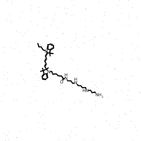 CCCCN1/C(=C/C=C/C=C/C2(C)N(CCCCCC(=O)NCCCNCCCCNCCCN)c3ccccc3C2(C)C)C(C)(C)c2ccccc21